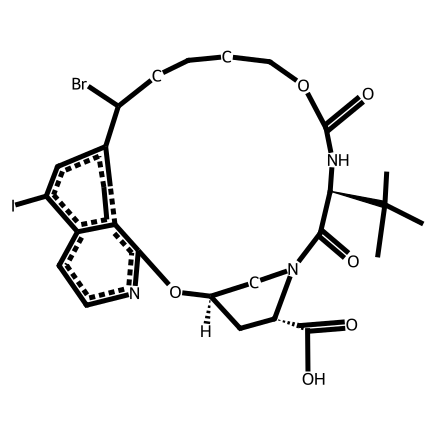 CC(C)(C)[C@@H]1NC(=O)OCCCCC(Br)c2cc(I)c3ccnc(c3c2)O[C@@H]2C[C@@H](C(=O)O)N(C2)C1=O